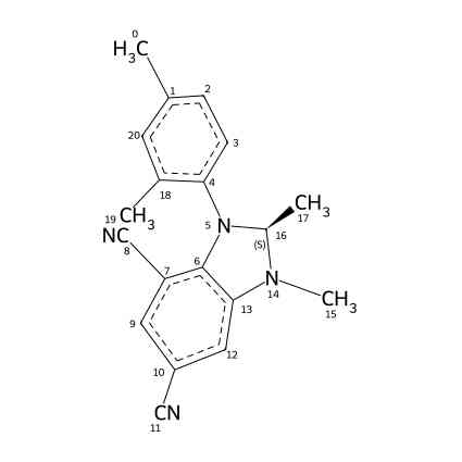 Cc1ccc(N2c3c(C#N)cc(C#N)cc3N(C)[C@@H]2C)c(C)c1